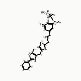 COc1cc(CNCc2nc(Cc3nc(-c4ccccc4)oc3C)co2)cc(F)c1OC(C)(C)C(=O)O